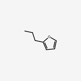 CCCc1[c]cco1